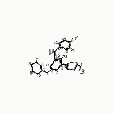 Cc1cc(CC2=CCCCC2)cc(Cc2ccccc2)c1